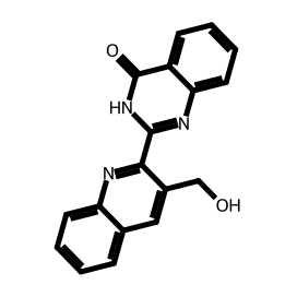 O=c1[nH]c(-c2nc3ccccc3cc2CO)nc2ccccc12